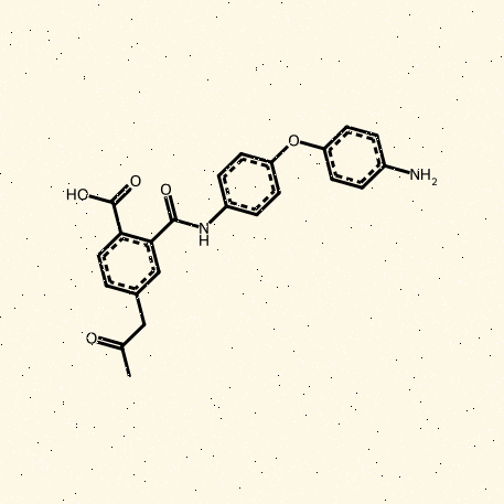 CC(=O)Cc1ccc(C(=O)O)c(C(=O)Nc2ccc(Oc3ccc(N)cc3)cc2)c1